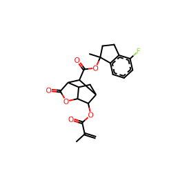 C=C(C)C(=O)OC1C2CC3C1OC(=O)C3C2C(=O)OC1(C)CCc2c(F)cccc21